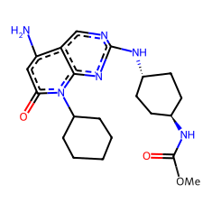 COC(=O)N[C@H]1CC[C@H](Nc2ncc3c(N)cc(=O)n(C4CCCCC4)c3n2)CC1